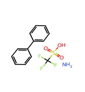 N.O=S(=O)(O)C(F)(F)F.c1ccc(-c2ccccc2)cc1